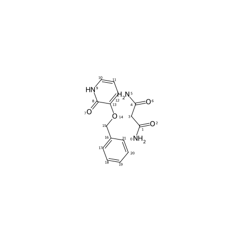 NC(=O)CC(N)=O.O=c1[nH]cccc1OCc1ccccc1